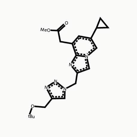 COC(=O)Cc1cc(C2CC2)cn2cc(Cn3cc(COC(C)(C)C)nn3)nc12